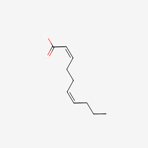 CCC/C=C\CC/C=C\C(=O)O